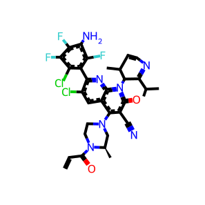 C=CC(=O)N1CCN(c2c(C#N)c(=O)n(C3C(C(C)C)=NC=CC3C)c3nc(-c4c(F)c(N)c(F)c(F)c4Cl)c(Cl)cc23)C[C@H]1C